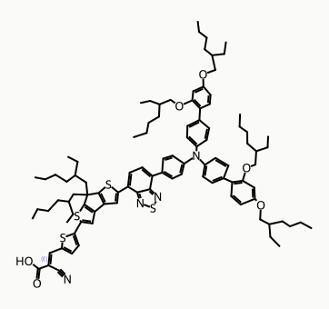 CCCCC(CC)COc1ccc(-c2ccc(N(c3ccc(-c4ccc(OCC(CC)CCCC)cc4OCC(CC)CCCC)cc3)c3ccc(-c4ccc(-c5cc6c(s5)C(CC(CC)CCCC)(CC(CC)CCCC)c5sc(-c7ccc(/C=C(\C#N)C(=O)O)s7)cc5-6)c5nsnc45)cc3)cc2)c(OCC(CC)CCCC)c1